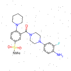 CNS(=O)(=O)c1ccc(N2CCCCC2)c(C(=O)N2CCN(c3ccc(N)c(F)c3)CC2)c1